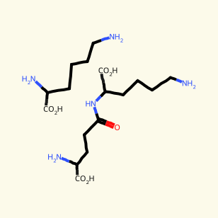 NCCCCC(N)C(=O)O.NCCCCC(NC(=O)CCC(N)C(=O)O)C(=O)O